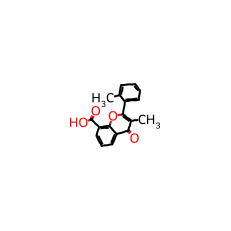 Cc1ccccc1-c1oc2c(C(=O)O)cccc2c(=O)c1C